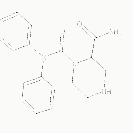 NC(=O)C1CNCCN1C(=O)N(c1ccccc1)c1ccccc1